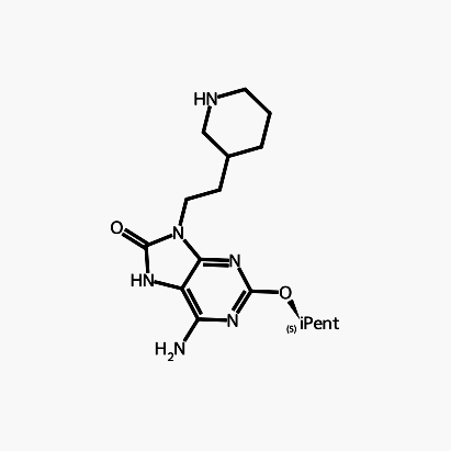 CCC[C@H](C)Oc1nc(N)c2[nH]c(=O)n(CCC3CCCNC3)c2n1